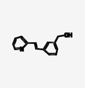 OCc1cccc(C=Cc2ccccn2)c1